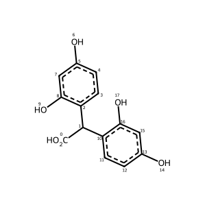 O=C(O)C(c1ccc(O)cc1O)c1ccc(O)cc1O